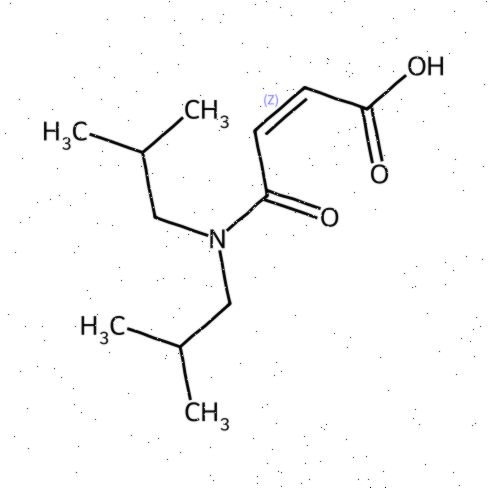 CC(C)CN(CC(C)C)C(=O)/C=C\C(=O)O